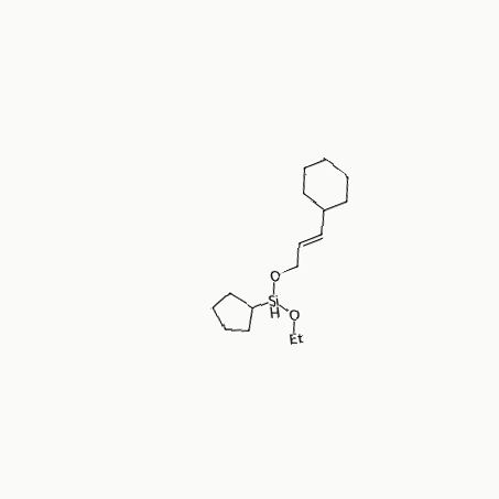 CCO[SiH](OCC=CC1CCCCC1)C1CCCC1